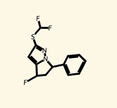 FC(F)Sc1cc2n(n1)C(c1ccccc1)CC2F